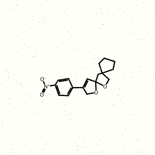 O=[N+]([O-])c1ccc(C2=CC3(CC4(CCCC4)CO3)OC2)cc1